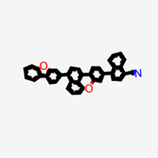 N#Cc1ccc(-c2ccc3c(c2)Oc2cccc4c(-c5ccc6c(c5)oc5ccccc56)ccc-3c24)c2ccccc12